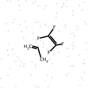 C=CC.FC(F)=C(F)F